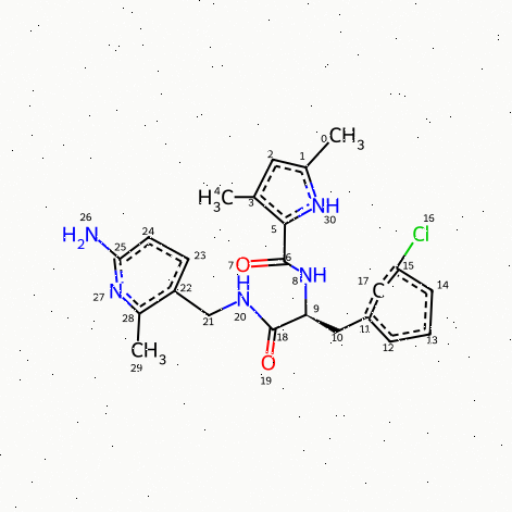 Cc1cc(C)c(C(=O)N[C@@H](Cc2cccc(Cl)c2)C(=O)NCc2ccc(N)nc2C)[nH]1